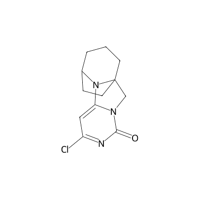 O=c1nc(Cl)cc2n1CC13CCCC(CC1)N23